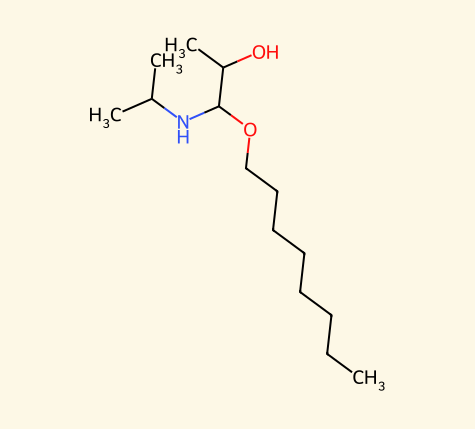 CCCCCCCCOC(NC(C)C)C(C)O